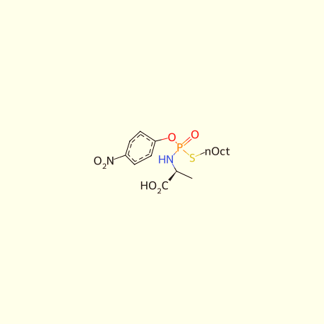 CCCCCCCCSP(=O)(N[C@@H](C)C(=O)O)Oc1ccc([N+](=O)[O-])cc1